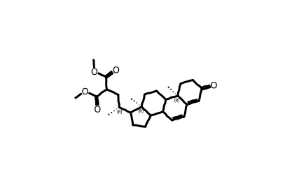 COC(=O)C(C[C@@H](C)C1CCC2C3C=CC4=CC(=O)CC[C@]4(C)C3CC[C@@]21C)C(=O)OC